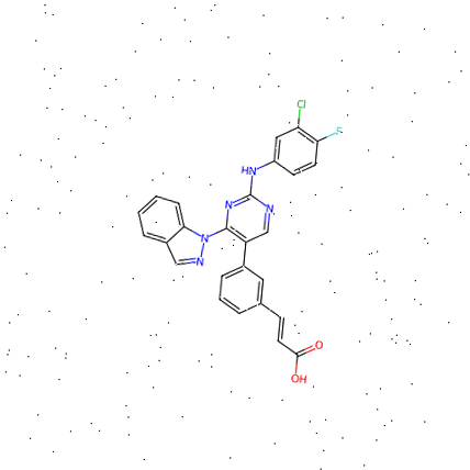 O=C(O)C=Cc1cccc(-c2cnc(Nc3ccc(F)c(Cl)c3)nc2-n2ncc3ccccc32)c1